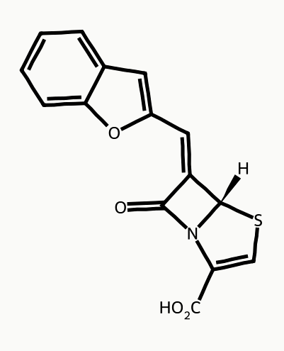 O=C(O)C1=CS[C@H]2C(=Cc3cc4ccccc4o3)C(=O)N12